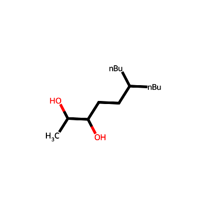 CCCCC(CCCC)CCC(O)C(C)O